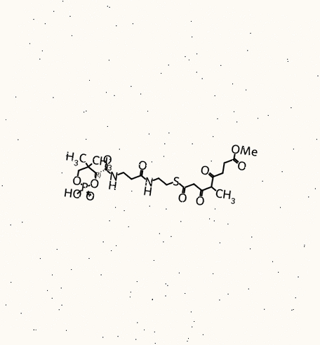 COC(=O)CCC(=O)C(C)C(=O)CC(=O)SCCNC(=O)CCNC(=O)[C@@H]1OP(=O)(O)OCC1(C)C